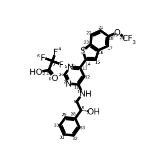 O=C(O)C(F)(F)F.O[C@@H](CNc1cc(-c2cc3cc(OC(F)(F)F)ccc3s2)ncn1)c1ccccc1